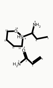 C=CC(N)=O.CCC(N)[SiH]1CCCCO1